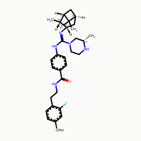 COc1ccc(CCNC(=O)c2ccc(NC(=N[C@H]3C[C@@H]4C[C@@H]([C@H]3C)C4(C)C)N3CCN[C@@H](C)C3)cc2)c(F)c1